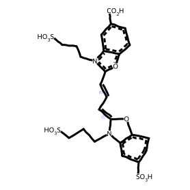 O=C(O)c1ccc2oc(/C=C/C=C3\Oc4ccc(S(=O)(=O)O)cc4N3CCCS(=O)(=O)O)[n+](CCCS(=O)(=O)O)c2c1